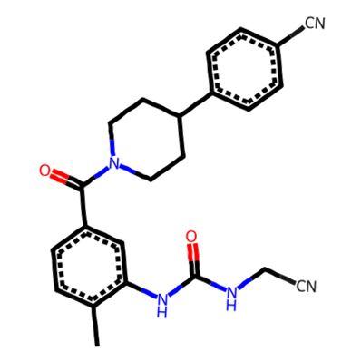 Cc1ccc(C(=O)N2CCC(c3ccc(C#N)cc3)CC2)cc1NC(=O)NCC#N